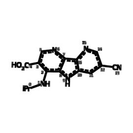 CC(C)Nc1c(C(=O)O)cnc2c1[nH]c1cc(C#N)cnc12